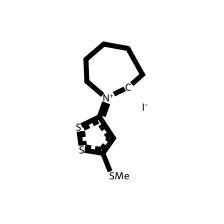 CSc1cc(=[N+]2CCCCCC2)ss1.[I-]